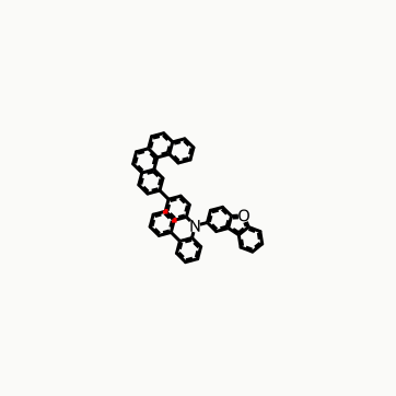 c1ccc(-c2ccccc2N(c2ccc(-c3ccc4ccc5ccc6ccccc6c5c4c3)cc2)c2ccc3oc4ccccc4c3c2)cc1